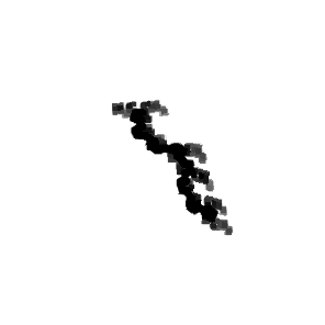 Cc1cc(C)c(-c2ccc(-c3ccc(-c4sc(-c5sc(-c6ccc(-c7ccc(-c8cc(C)c(C)s8)s7)s6)cc5C)cc4C)s3)s2)s1